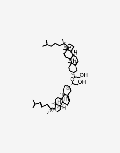 CC(C)CCC[C@@H](C)[C@H]1CC[C@H]2[C@@H]3CC=C4C[C@@H](C(CO)OC(CO)[C@H]5CC[C@@]6(C)C(=CC[C@H]7[C@@H]8CC[C@H]([C@H](C)CCCC(C)C)[C@@]8(C)CC[C@@H]76)C5)CC[C@]4(C)[C@H]3CC[C@]12C